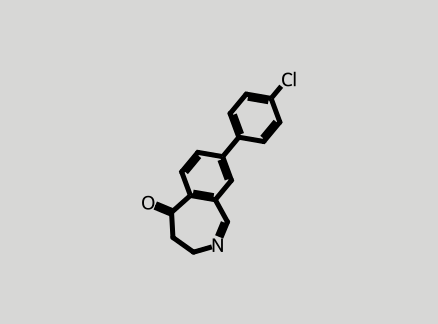 O=C1CCN=Cc2cc(-c3ccc(Cl)cc3)ccc21